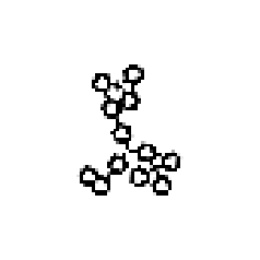 c1ccc(C2(c3ccccc3)c3ccccc3-c3ccc(N(c4ccc(-c5ccc(-c6ccccc6-n6c7ccccc7c7ccccc76)cc5)cc4)c4ccc(-c5cccc6ccccc56)cc4)cc32)cc1